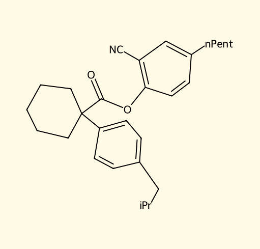 CCCCCc1ccc(OC(=O)C2(c3ccc(CC(C)C)cc3)CCCCC2)c(C#N)c1